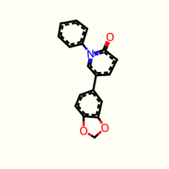 O=c1ccc(-c2ccc3c(c2)OCO3)cn1-c1ccccc1